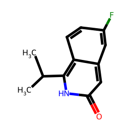 CC(C)c1[nH]c(=O)cc2cc(F)ccc12